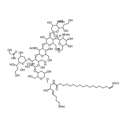 CCCCCCCC/C=C\CCCCCCCCCCCCCCCC(=O)N[C@@H](CO[C@@H]1OC(CO)[C@@H](O[C@@H]2OC(CO)[C@H](O[C@@H]3OC(CO)[C@H](O)[C@H](O[C@@H]4OC(CO)[C@H](O[C@@H]5OC(CO)[C@H](O)[C@H](O)C5NC(C)=O)[C@H](O[C@]5(C(=O)O)CC(O)[C@@H](NC(C)=O)C([C@H](O)[C@H](O)CO)O5)C4O)C3NC(C)=O)[C@H](O[C@]3(C(=O)O)CC(O)[C@@H](NC(=O)CO)C([C@H](O)[C@H](O)CO)O3)C2O)[C@H](O)C1O)[C@H](O)/C=C/CCCCCCCCCCCCC